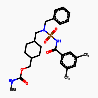 CCCCNC(=O)OCC1CCC(CN(Cc2ccccc2)S(=O)(=O)NC(=O)c2cc(C(F)(F)F)cc(C(F)(F)F)c2)CC1